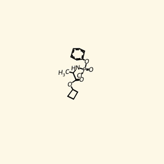 CC(NP(=O)(Cl)Oc1ccccc1)C(=O)OC1CCC1